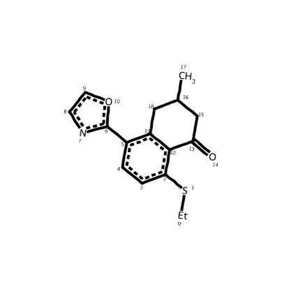 CCSc1ccc(-c2ncco2)c2c1C(=O)CC(C)C2